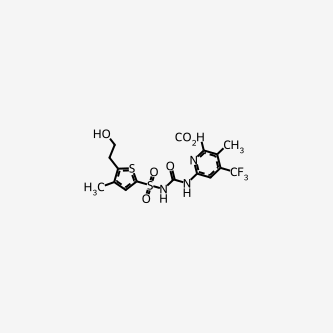 Cc1cc(S(=O)(=O)NC(=O)Nc2cc(C(F)(F)F)c(C)c(C(=O)O)n2)sc1CCO